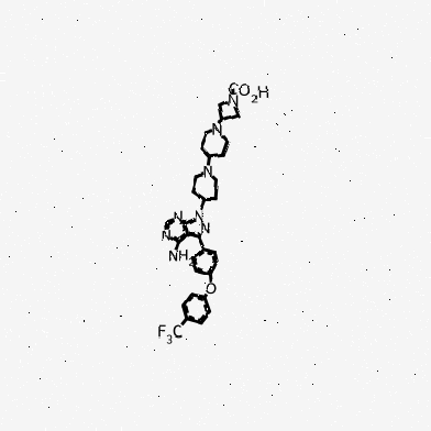 Nc1ncnc2c1c(-c1ccc(Oc3ccc(C(F)(F)F)cc3)cc1)nn2C1CCN(C2CCN(C3CN(C(=O)O)C3)CC2)CC1